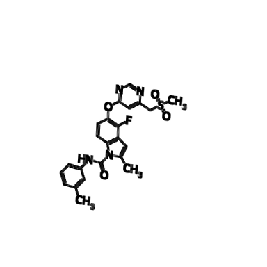 Cc1cccc(NC(=O)n2c(C)cc3c(F)c(Oc4cc(CS(C)(=O)=O)ncn4)ccc32)c1